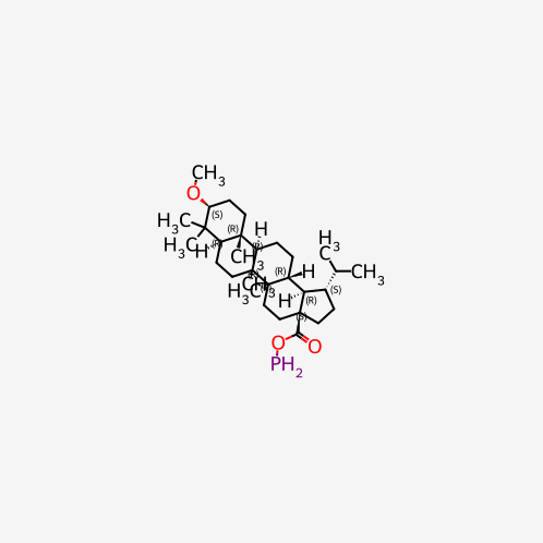 CO[C@H]1CC[C@]2(C)[C@H]3CC[C@@H]4[C@H]5[C@H](C(C)C)CC[C@]5(C(=O)OP)CC[C@@]4(C)[C@]3(C)CC[C@H]2C1(C)C